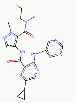 CN(CCF)C(=O)c1c(NC(=O)c2nc(C3CC3)cnc2Nc2cncnc2)cnn1C